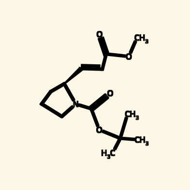 COC(=O)C=C[C@@H]1CCCN1C(=O)OC(C)(C)C